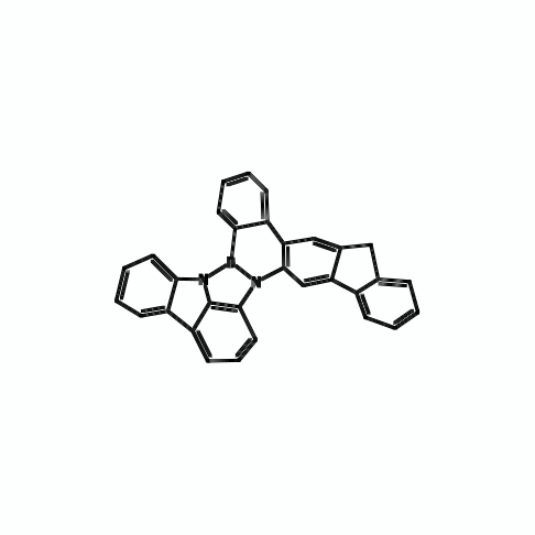 c1ccc2c(c1)Cc1cc3c(cc1-2)N1B(c2ccccc2-3)n2c3ccccc3c3cccc1c32